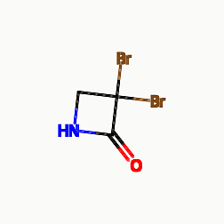 O=C1NCC1(Br)Br